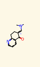 CN(C)/C=C1\CCc2ncccc2C1=O